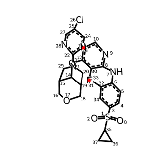 O=S(=O)(c1ccc(Nc2ncnc(OC3C4COCC3CN(c3ncc(Cl)cn3)C4)c2F)c(F)c1)C1CC1